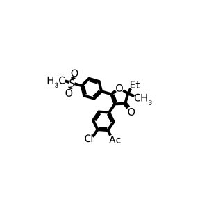 CCC1(C)OC(c2ccc(S(C)(=O)=O)cc2)=C(c2ccc(Cl)c(C(C)=O)c2)C1=O